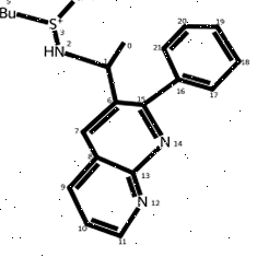 CC(N[S+]([O-])C(C)(C)C)c1cc2cccnc2nc1-c1ccccc1